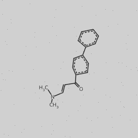 CN(C)C=CC(=O)c1ccc(-c2ccccc2)cc1